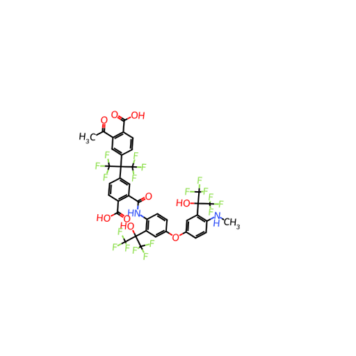 CNc1ccc(Oc2ccc(NC(=O)c3cc(C(c4ccc(C(=O)O)c(C(C)=O)c4)(C(F)(F)F)C(F)(F)F)ccc3C(=O)O)c(C(O)(C(F)(F)F)C(F)(F)F)c2)cc1C(O)(C(F)(F)F)C(F)(F)F